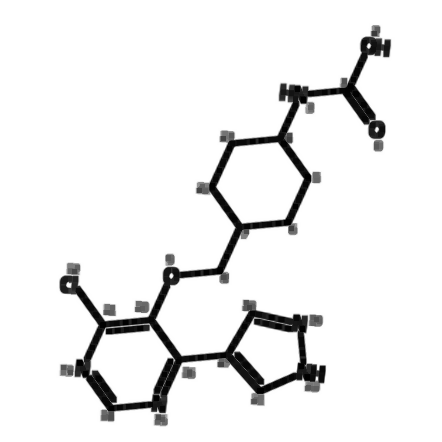 O=C(O)NC1CCC(COc2c(Cl)ncnc2-c2cn[nH]c2)CC1